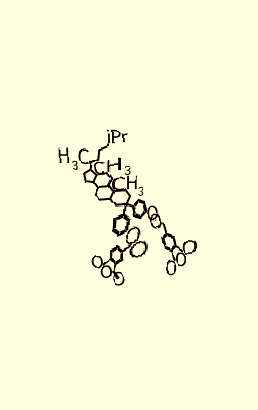 CC(C)CCCC(C)C1CCC2C3CCC4CC(c5ccc(OOCc6ccc7c(c6)C(=O)OC7=O)cc5)(c5cccc(OC(=O)c6ccc7c(c6)C(=O)OC7=O)c5)CCC4(C)C3CCC12C